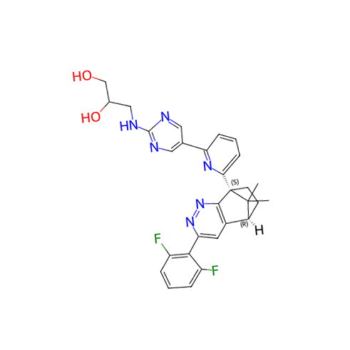 CC1(C)[C@H]2CC[C@]1(c1cccc(-c3cnc(NCC(O)CO)nc3)n1)c1nnc(-c3c(F)cccc3F)cc12